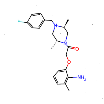 Cc1cccc(OCC(=O)N2C[C@H](C)N(Cc3ccc(F)cc3)C[C@H]2C)c1N